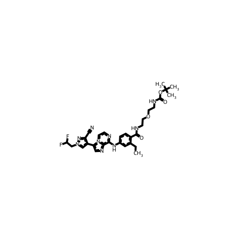 CCc1cc(Nc2nccn3c(-c4cn(CC(F)F)nc4C#N)cnc23)ccc1C(=O)NCCOCCNC(=O)OC(C)(C)C